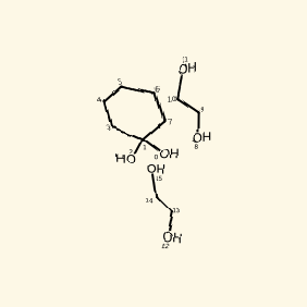 OC1(O)CCCCC1.OCCO.OCCO